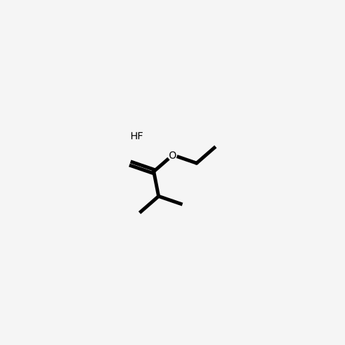 C=C(OCC)C(C)C.F